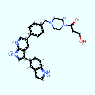 O=C(CCO)N1CCN(Cc2ccc(-c3cnc4[nH]cc(-c5ccc6[nH]ccc6c5)c4c3)cc2)CC1